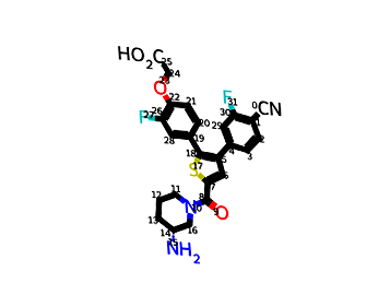 N#Cc1ccc(-c2cc(C(=O)N3CCC[C@@H](N)C3)sc2-c2ccc(OCC(=O)O)c(F)c2)cc1F